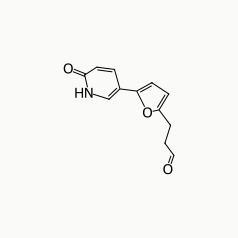 O=CCCc1ccc(-c2ccc(=O)[nH]c2)o1